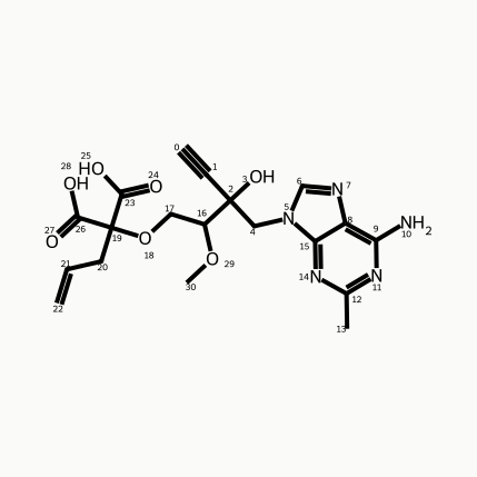 C#CC(O)(Cn1cnc2c(N)nc(C)nc21)C(COC(CC=C)(C(=O)O)C(=O)O)OC